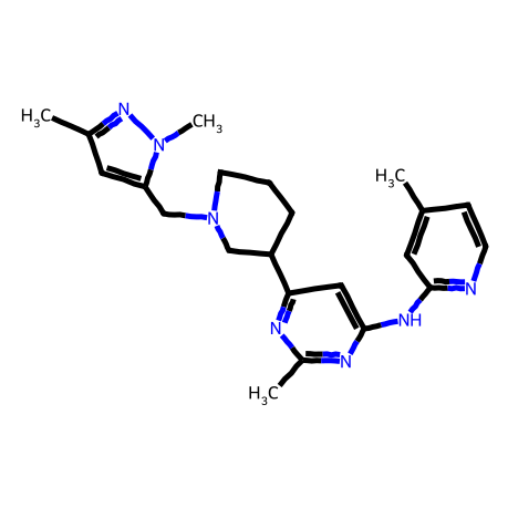 Cc1ccnc(Nc2cc(C3CCCN(Cc4cc(C)nn4C)C3)nc(C)n2)c1